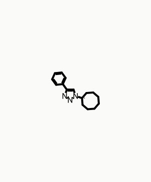 c1ccc(-c2cn([C]3CCCCCCC3)nn2)cc1